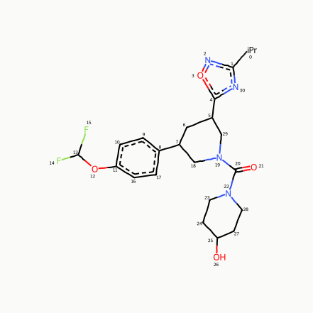 CC(C)c1noc(C2CC(c3ccc(OC(F)F)cc3)CN(C(=O)N3CCC(O)CC3)C2)n1